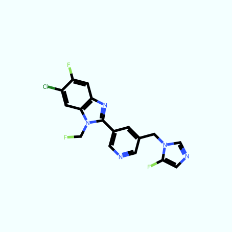 FCn1c(-c2cncc(Cn3cncc3F)c2)nc2cc(F)c(Cl)cc21